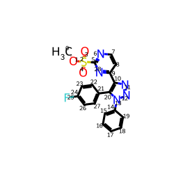 COS(=O)(=O)c1nccc(-c2nnn(-c3ccccc3)c2-c2ccc(F)cc2)n1